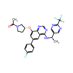 CC(=O)N1CC[C@@H](Oc2cc(-c3ccc(F)cc3)cc3c(N[C@H](C)c4cnc(C(F)(F)F)nc4)ncnc23)C1